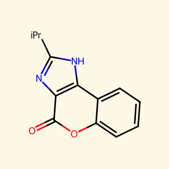 CC(C)c1nc2c(=O)oc3ccccc3c2[nH]1